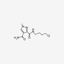 Cn1cc(C(N)=O)c(C(=O)NCCCCCl)n1